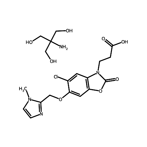 Cn1ccnc1COc1cc2oc(=O)n(CCC(=O)O)c2cc1Cl.NC(CO)(CO)CO